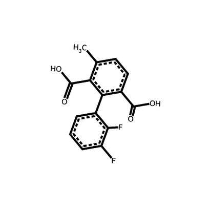 Cc1ccc(C(=O)O)c(-c2cccc(F)c2F)c1C(=O)O